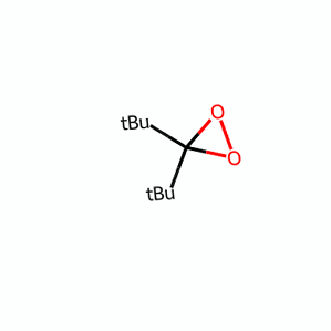 CC(C)(C)C1(C(C)(C)C)OO1